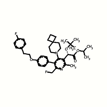 Cc1nc(CF)c(-c2ccc(OCCc3ccc(F)cc3)cc2)c(N2CCC3(CCC3)CC2)c1[C@H](OC(C)(C)C)C(=O)OC(C)C